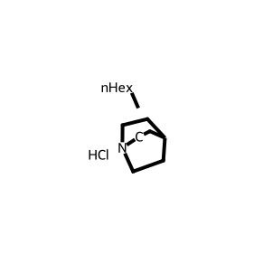 C1CN2CCC1CC2.CCCCCCC.Cl